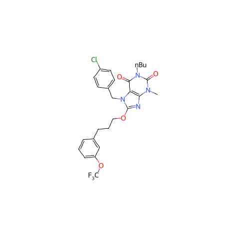 CCCCn1c(=O)c2c(nc(OCCCc3cccc(OC(F)(F)F)c3)n2Cc2ccc(Cl)cc2)n(C)c1=O